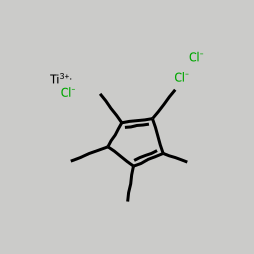 CC1=C(C)C(C)C(C)=C1C.[Cl-].[Cl-].[Cl-].[Ti+3]